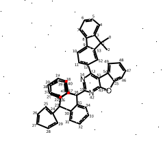 CC1(C)c2ccccc2-c2ccc(-c3nc(C45c6ccccc6C(c6ccccc6)(c6ccccc64)c4ccccc45)nc4oc5ccccc5c34)cc21